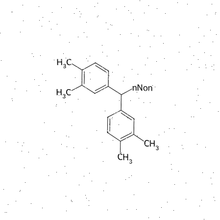 CCCCCCCCCC(c1ccc(C)c(C)c1)c1ccc(C)c(C)c1